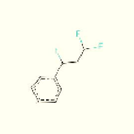 FC(F)CC(F)c1cc[c]cc1